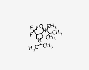 CC(C)N1CC(C(=O)N(C)C(C)C)C(C(F)(F)F)C1